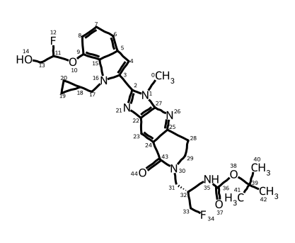 Cn1c(-c2cc3cccc(OC(F)CO)c3n2CC2CC2)nc2cc3c(nc21)CCN(C[C@@H](CF)NC(=O)OC(C)(C)C)C3=O